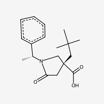 C[C@H](c1ccccc1)N1C[C@](CC(C)(C)C)(C(=O)O)CC1=O